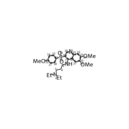 CCN(CC)CCCNc1c(S(=O)(=O)c2ccc(OC)cc2)cnc2cc(OC)c(OC)cc12